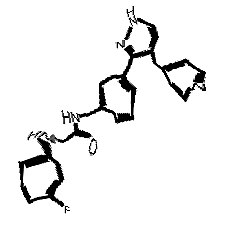 O=C(Nc1cccc(F)c1)Nc1cccc(-c2n[nH]cc2-c2ccncc2)c1